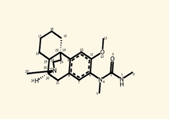 CNC(=O)N(C)c1cc2c(cc1OC)[C@]13CCCCC1[C@H](C2)N(C)CC3